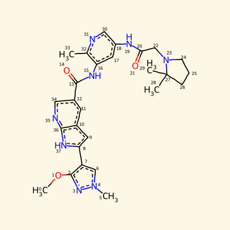 COc1nn(C)cc1-c1cc2cc(C(=O)Nc3cc(NC(=O)CN4CCCC4(C)C)cnc3C)cnc2[nH]1